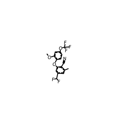 COc1cc(OC(F)(F)F)ccc1Oc1cc(C(F)F)cc(C)c1C#N